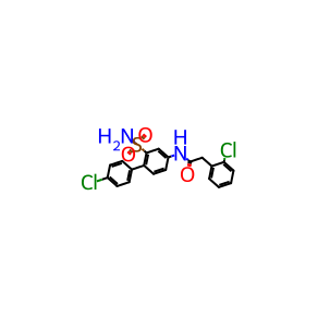 NS(=O)(=O)c1cc(NC(=O)Cc2ccccc2Cl)ccc1-c1ccc(Cl)cc1